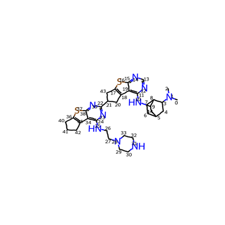 CN(C)C1CC2CCC1C(Nc1ncnc3sc4c(c13)CC(c1nc(NCCN3CCNCC3)c3c5c(sc3n1)CCC5)C4)C2